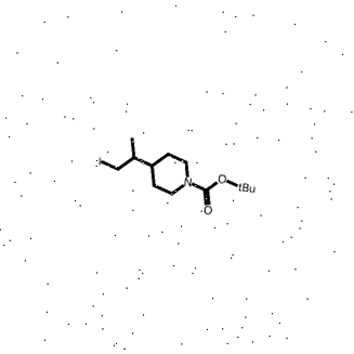 CC(CI)C1CCN(C(=O)OC(C)(C)C)CC1